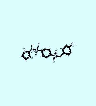 O=S(=O)(Cc1ccc(C(F)(F)F)cc1)c1ccc(S(=O)(=O)Nc2nccs2)cc1